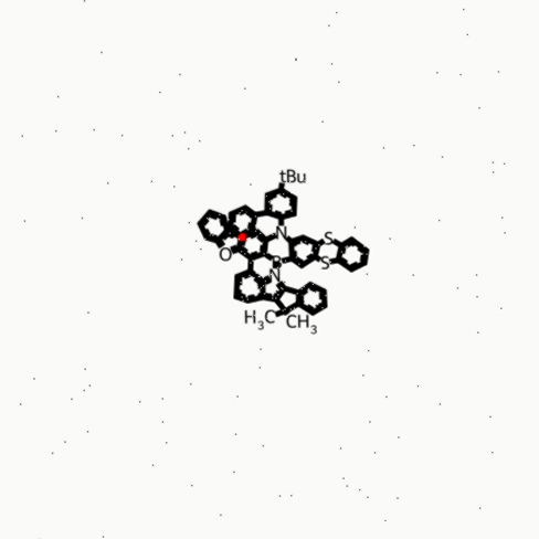 CC(C)(C)c1ccc(N2c3cc4c(cc3B3c5c2cc2c(oc6ccccc62)c5-c2cccc5c6c(n3c25)-c2ccccc2C6(C)C)Sc2ccccc2S4)c(-c2ccccc2)c1